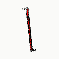 O=C(O)CCOCCOCCOCCOCCOCCOCCOCCOCCOCCOCCOCCOCCOCCOCCOCCOCCOCCOCCOCCOCCOCCOCCOCCOCCOCCC(=O)O